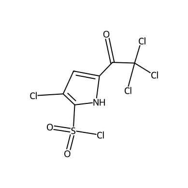 O=C(c1cc(Cl)c(S(=O)(=O)Cl)[nH]1)C(Cl)(Cl)Cl